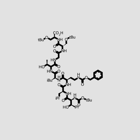 CC[C@H](C)[C@H](NC(=O)[C@@H](CCNC(=O)OCc1ccccc1)NC(=O)[C@H](CC(C)C)NC(=O)[C@@H](NC(=O)OC(C)(C)C)[C@H](O)C(C)C)C(=O)NC(C(=O)NCC(=O)N[C@@H](COC(C)(C)C)C(=O)N[C@@H](COC(C)(C)C)C(=O)O)[C@H](C)O